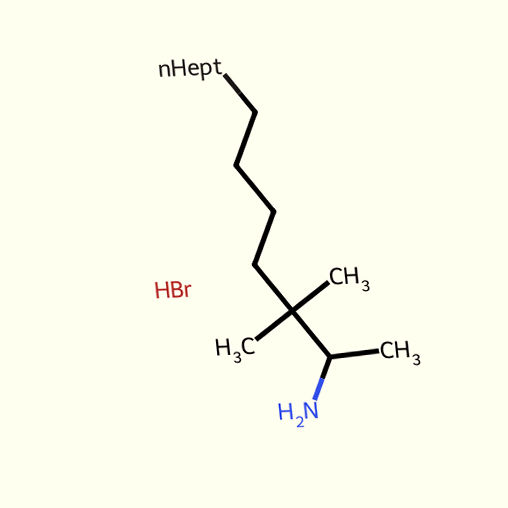 Br.CCCCCCCCCCCC(C)(C)C(C)N